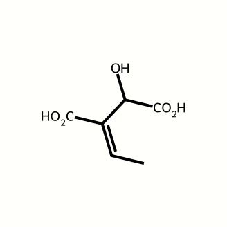 CC=C(C(=O)O)C(O)C(=O)O